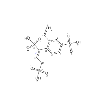 C=Cc1cc(S(=O)(=O)O)ccc1/C(=C\CS(=O)(=O)O)S(=O)(=O)O